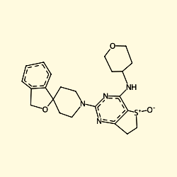 [O-][S+]1CCc2nc(N3CCC4(CC3)OCc3ccccc34)nc(NC3CCOCC3)c21